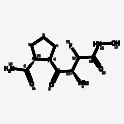 CCCC[C@@H](C(=O)N1CCC[C@H]1C(N)=O)C(F)C(=O)NO